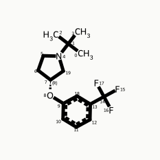 CC(C)(C)N1CC[C@@H](Oc2cccc(C(F)(F)F)c2)C1